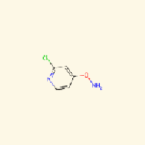 NOc1ccnc(Cl)c1